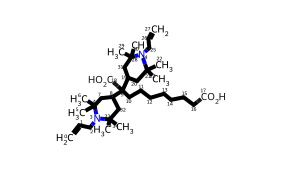 C=CCN1C(C)(C)CC(C(CCCCCCCC(=O)O)(C(=O)O)C2CC(C)(C)N(CC=C)C(C)(C)C2)CC1(C)C